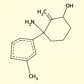 C=C1C(O)CCCC1(N)c1cccc(C)c1